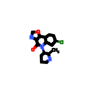 Cc1ncccc1-n1c(=O)c2ncoc2c2ccc(Cl)cc21